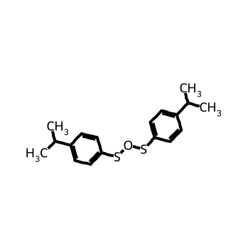 CC(C)c1ccc(SOSc2ccc(C(C)C)cc2)cc1